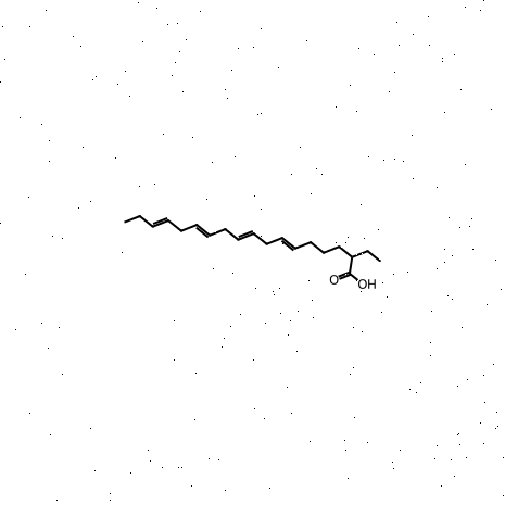 CCC=CCC=CCC=CCC=CCCCC(CC)C(=O)O